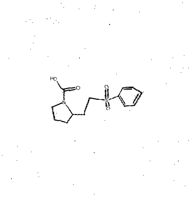 O=C(O)N1CCCC1CCS(=O)(=O)c1ccccc1